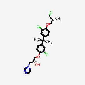 C[C@@H](CCl)COc1ccc(C(C)(C)c2ccc(OC[C@H](O)Cn3ccnc3)c(Cl)c2)cc1Cl